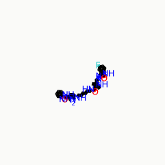 Cc1[nH]c(/C=N/N=C2\C(=O)Nc3ccc(F)cc32)c(C)c1C(=O)NCCCCCCNc1ccc(C(=O)Nc2ccccc2N)cn1